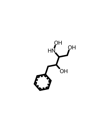 OCC(NO)C(O)Cc1ccccc1